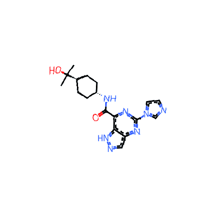 CC(C)(O)[C@H]1CC[C@H](NC(=O)c2nc(-n3ccnc3)nc3cn[nH]c23)CC1